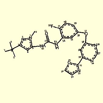 Cn1nc(C(C)(C)C)cc1NC(=O)Nc1cc(Oc2cc(-c3ncco3)ncn2)ccc1F